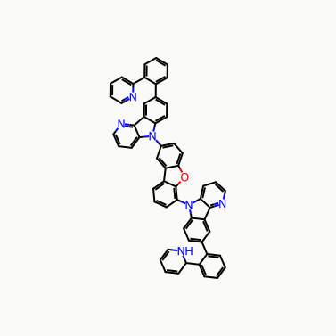 C1=CNC(c2ccccc2-c2ccc3c(c2)c2ncccc2n3-c2cccc3c2oc2ccc(-n4c5ccc(-c6ccccc6-c6ccccn6)cc5c5ncccc54)cc23)C=C1